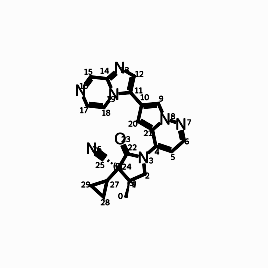 C[C@@H]1CN(c2ccnn3cc(-c4cnc5cnccn45)cc23)C(=O)[C@]1(C#N)C1CC1